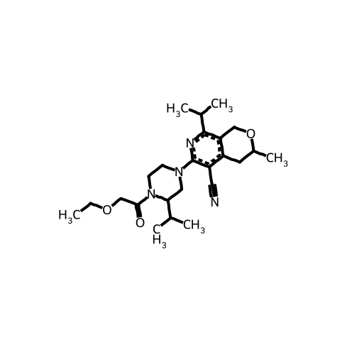 CCOCC(=O)N1CCN(c2nc(C(C)C)c3c(c2C#N)CC(C)OC3)CC1C(C)C